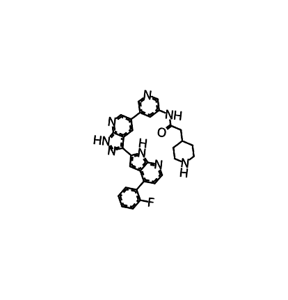 O=C(CC1CCNCC1)Nc1cncc(-c2cnc3[nH]nc(-c4cc5c(-c6ccccc6F)ccnc5[nH]4)c3c2)c1